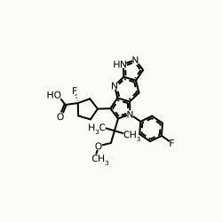 COCC(C)(C)c1c(C2CC[C@@](F)(C(=O)O)C2)c2nc3[nH]ncc3cc2n1-c1ccc(F)cc1